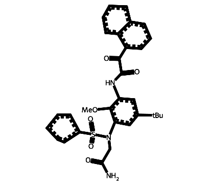 COc1c(NC(=O)C(=O)c2cccc3ccccc23)cc(C(C)(C)C)cc1N(CC(N)=O)S(=O)(=O)c1ccccc1